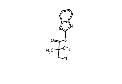 CC(C)(CCl)C(=O)Sc1nc2ccccc2s1